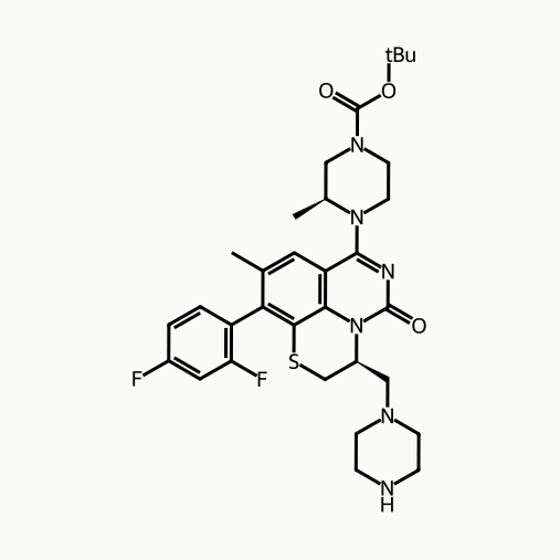 Cc1cc2c(N3CCN(C(=O)OC(C)(C)C)C[C@@H]3C)nc(=O)n3c2c(c1-c1ccc(F)cc1F)SC[C@@H]3CN1CCNCC1